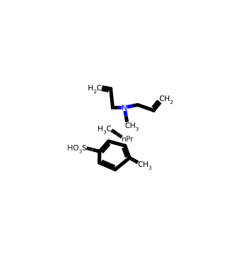 C=CCN(C)CC=C.CCCC.Cc1ccc(S(=O)(=O)O)cc1